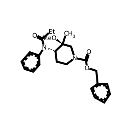 CCC(=O)N(c1ccccc1)[C@H]1CCN(C(=O)OCc2ccccc2)C[C@]1(C)OC